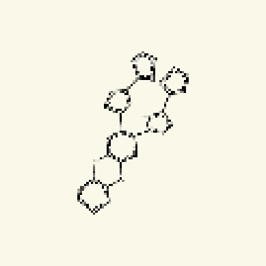 c1csc(-c2ccc(-c3cc4c(cc3-c3ccc(-c5cccs5)s3)Sc3ccccc3S4)s2)c1